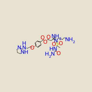 CC(NC(N)=O)S(=O)(=O)N(CCCN)[C@H](N)CC(=O)OC(=O)c1ccc(OCCNC2=NCCCN2)cc1